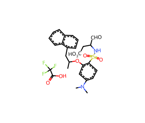 CC(Cc1cccc2ccccc12)Oc1cc(N(C)C)ccc1S(=O)(=O)NC(C=O)CC(=O)O.O=C(O)C(F)(F)F